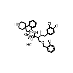 CS(=O)(=O)[N+]1(NC(=O)C(COCc2ccccc2Cl)NCc2ccc(Cl)c(Cl)c2)CC2(CCNCC2)c2ccccc21.Cl